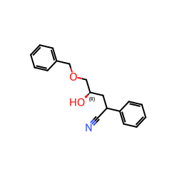 N#CC(C[C@@H](O)COCc1ccccc1)c1ccccc1